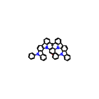 c1ccc(-n2c3ccccc3c3c2ccc2c4cccc5c4n(c23)-c2cccc3c2B5c2cccc4c5ccc6c7ccccc7n(-c7ccccc7)c6c5n-3c24)cc1